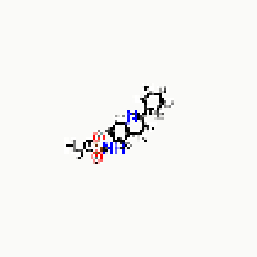 CS(=O)(=O)Nc1ccc2nc(-c3ccccc3)ccc2c1